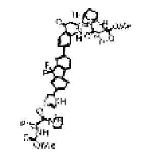 COC(=O)N[C@H](C(=O)N1CCC[C@H]1c1ncc(-c2ccc3c(c2)C(F)(F)c2cc(-c4ccc5c(=O)cc([C@@H]6[C@H]7CC[C@H](C7)N6C(=O)[C@@H](NC(=O)OC)C(C)C)[nH]c5c4)ccc2-3)[nH]1)C(C)C